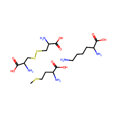 CSCCC(N)C(=O)O.NC(CSSCC(N)C(=O)O)C(=O)O.NCCCCC(N)C(=O)O